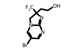 OCCC1(C(F)(F)F)CN2C=C(Br)C=NC2=N1